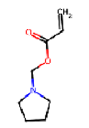 C=CC(=O)OCN1CCCC1